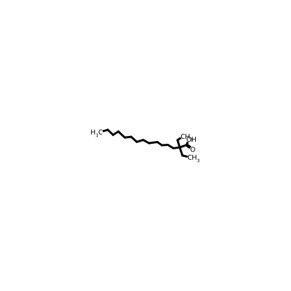 CCCCCCCCCCCCCC(CC)(CC)C(=O)O